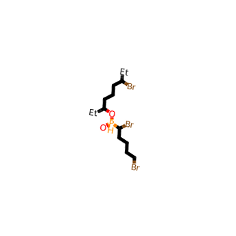 CCC(Br)CCCC(CC)O[PH](=O)C(Br)CCCCBr